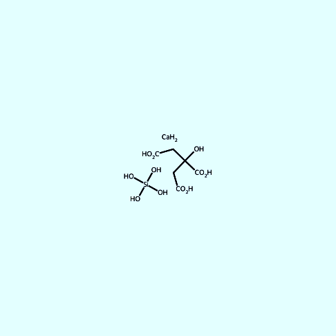 O=C(O)CC(O)(CC(=O)O)C(=O)O.O[Si](O)(O)O.[CaH2]